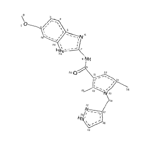 COc1ccc2nc(NC(=O)c3cc(C)n(Cc4cc[nH]n4)c3C)[nH]c2c1